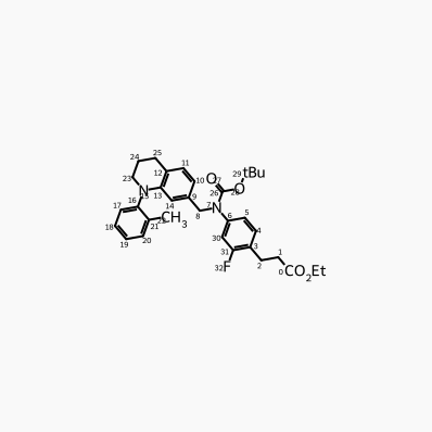 CCOC(=O)CCc1ccc(N(Cc2ccc3c(c2)N(c2ccccc2C)CCC3)C(=O)OC(C)(C)C)cc1F